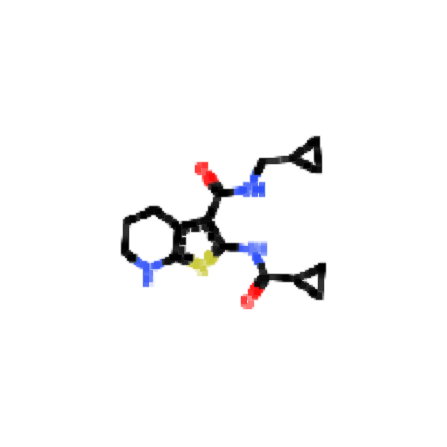 O=C(NCC1CC1)c1c(NC(=O)C2CC2)sc2c1CCCN2